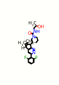 C[C@H](O)CNC(=O)N1CCC[C@H]([C@@]23CC[C@@H](c4cc(-c5c(F)cccc5F)nnc42)C3(C)C)C1